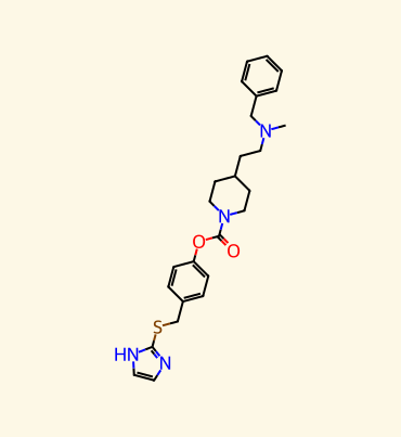 CN(CCC1CCN(C(=O)Oc2ccc(CSc3ncc[nH]3)cc2)CC1)Cc1ccccc1